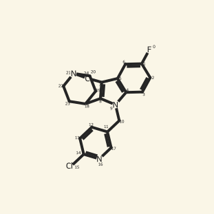 Fc1ccc2c(c1)c1c(n2Cc2ccc(Cl)nc2)C2CCN(CC2)C1